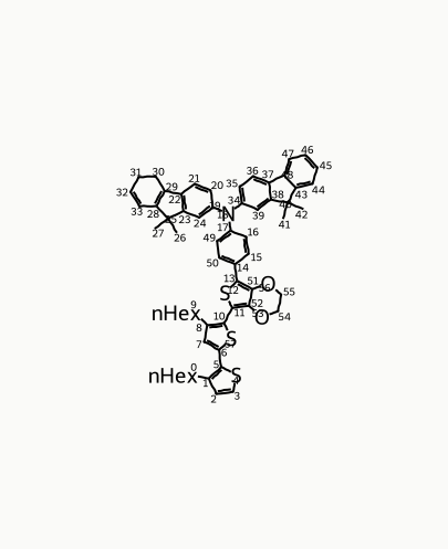 CCCCCCc1ccsc1-c1cc(CCCCCC)c(-c2sc(-c3ccc(N(c4ccc5c(c4)C(C)(C)C4=C5CCC=C4)c4ccc5c(c4)C(C)(C)c4ccccc4-5)cc3)c3c2OCCO3)s1